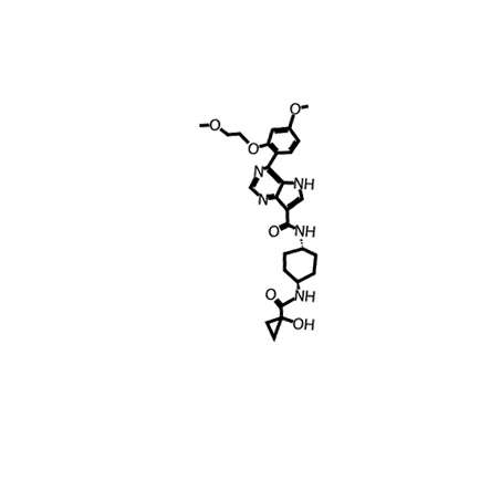 COCCOc1cc(OC)ccc1-c1ncnc2c(C(=O)N[C@H]3CC[C@H](NC(=O)C4(O)CC4)CC3)c[nH]c12